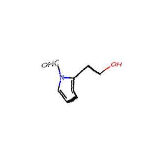 O=Cn1cccc1CCO